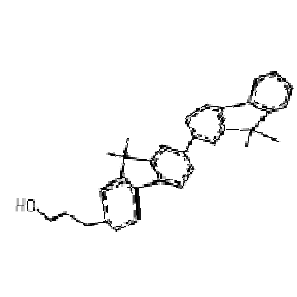 CC1(C)c2ccccc2-c2ccc(-c3ccc4c(c3)C(C)(C)c3cc(CCCO)ccc3-4)cc21